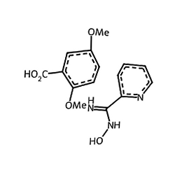 COc1ccc(OC)c(C(=O)O)c1.N=C(NO)c1ccccn1